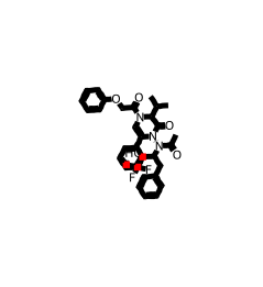 CC(=O)N(C(Cc1ccccc1)C(O)C(F)(F)F)N1C(=O)C(C(C)C)N(C(=O)COc2ccccc2)C=C1c1ccccc1